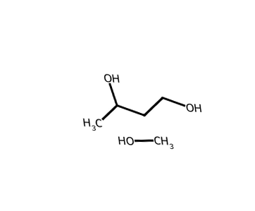 CC(O)CCO.CO